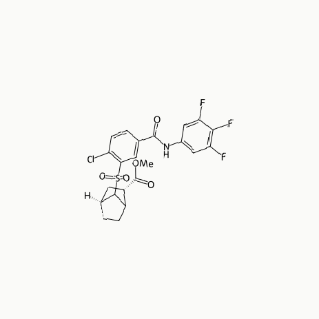 COC(=O)[C@H]1C[C@@H]2CCC1C2S(=O)(=O)c1cc(C(=O)Nc2cc(F)c(F)c(F)c2)ccc1Cl